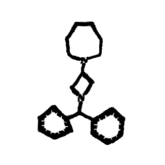 c1ccc(C(c2ccccc2)N2CC(N3CCCCCC3)C2)cc1